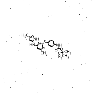 Cc1cc(Nc2cc(C)nc(Sc3ccc(NC(=O)OC(C)(C)C)cc3)n2)[nH]n1